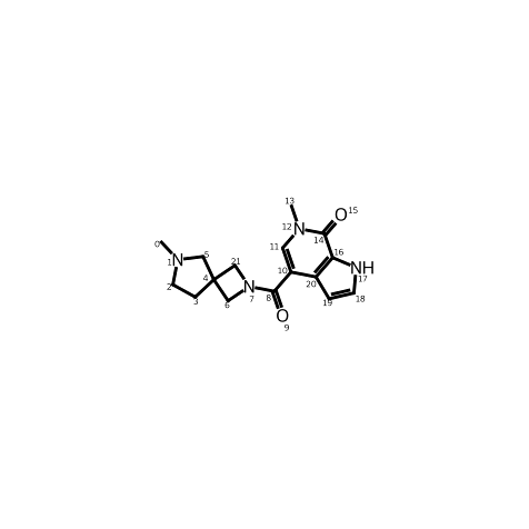 CN1CCC2(C1)CN(C(=O)c1cn(C)c(=O)c3[nH]ccc13)C2